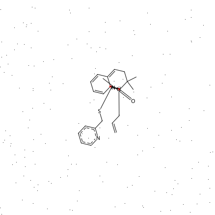 C=CCN1C(=O)C2C(C)(C)CC=C3C=CC=CC32N=C1SCc1ccccn1